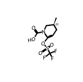 C[C@H]1CC=C(OS(=O)(=O)C(F)(F)F)N(C(=O)O)C1